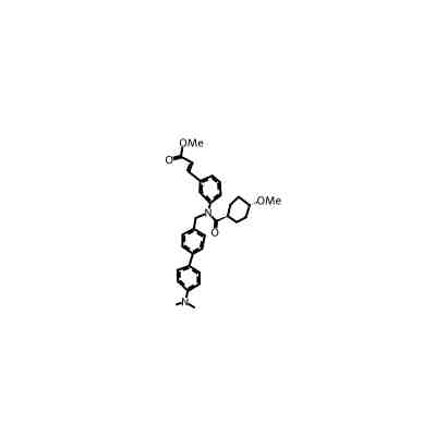 COC(=O)/C=C/c1cccc(N(Cc2ccc(-c3ccc(N(C)C)cc3)cc2)C(=O)[C@H]2CC[C@H](OC)CC2)c1